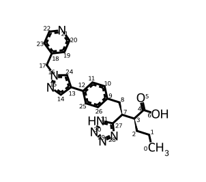 CCC[C@H](C(=O)O)[C@H](Cc1ccc(-c2cnn(Cc3ccncc3)c2)cc1)c1nnn[nH]1